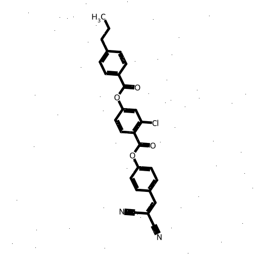 CCCc1ccc(C(=O)Oc2ccc(C(=O)Oc3ccc(C=C(C#N)C#N)cc3)c(Cl)c2)cc1